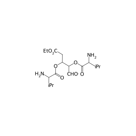 CCOC(=O)CC(OC(=O)C(N)C(C)C)C([C]=O)OC(=O)C(N)C(C)C